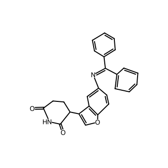 O=C1CCC(c2coc3ccc(N=C(c4ccccc4)c4ccccc4)cc23)C(=O)N1